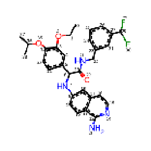 CCOc1cc(C(Nc2ccc3c(N)nccc3c2)C(=O)NCc2cccc(C(F)F)c2)ccc1OC(C)C